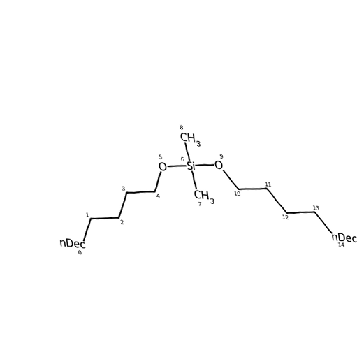 CCCCCCCCCCCCCCO[Si](C)(C)OCCCCCCCCCCCCCC